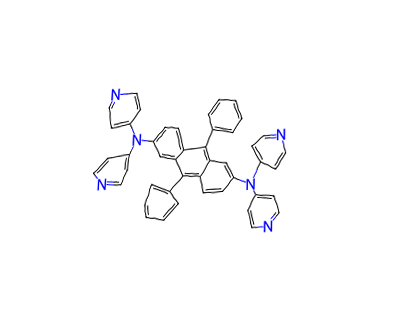 c1ccc(-c2c3ccc(N(c4ccncc4)c4ccncc4)cc3c(-c3ccccc3)c3ccc(N(c4ccncc4)c4ccncc4)cc23)cc1